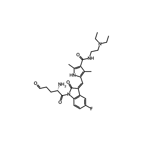 CCN(CC)CCNC(=O)c1c(C)[nH]c(/C=C2\C(=O)N(C(=O)[C@@H](N)CCC=O)c3ccc(F)cc32)c1C